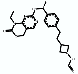 CCN1C(=O)OCc2cnc(N[C@@H](C)c3ccc(CCC4CN(BC=O)C4)cc3)nc21